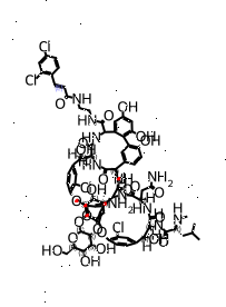 CN[C@H](CC(C)C)C(=O)N[C@H]1C(=O)N[C@@H](CC(N)=O)C(=O)NC2C(=O)N[C@H]3C(=O)N[C@H](C(=O)NC(C(=O)NCCNC(=O)/C=C/c4ccc(Cl)cc4Cl)c4cc(O)cc(O)c4-c4cc3ccc4O)[C@H](O)c3ccc(c(Cl)c3)Oc3cc2cc(c3O[C@@H]2O[C@H](CO)[C@@H](O)[C@H](O)[C@H]2OC2C[C@](C)(N)[C@H](O)[C@H](C)O2)Oc2ccc(cc2Cl)[C@H]1O